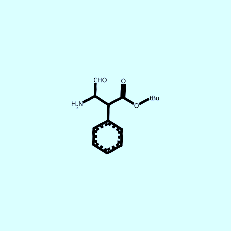 CC(C)(C)OC(=O)C(c1ccccc1)C(N)C=O